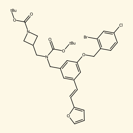 CC(C)(C)OC(=O)N(Cc1cc(C=Cc2ccco2)cc(OCc2ccc(Cl)cc2Br)c1)CC1CN(C(=O)OC(C)(C)C)C1